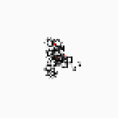 Cc1cc(-c2nc3ccccc3n2-c2c(-c3ccccc3)cccc2-c2ccccc2)c2oc3cc4ccc5ccccc5c4cc3c2c1C